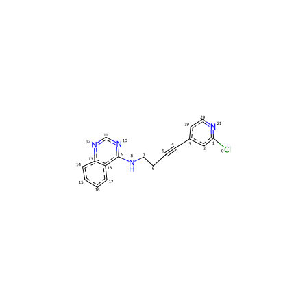 Clc1cc(C#CCCNc2ncnc3ccccc23)ccn1